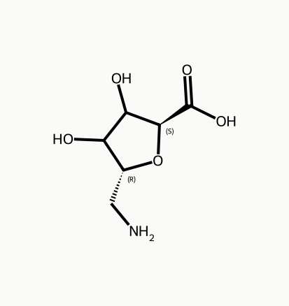 NC[C@H]1O[C@H](C(=O)O)C(O)C1O